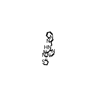 c1ccn2cc(CNc3nccn4c([C@@H]5CCCS5)nnc34)nc2c1